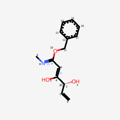 C=C[C@@H](O)/C(O)=C/C(=N/C)OCc1ccccc1